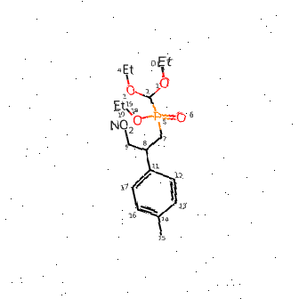 CCOC(OCC)P(=O)(CC(C[N+](=O)[O-])c1ccc(C)cc1)OCC